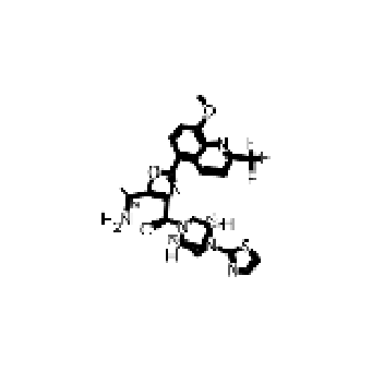 COc1ccc(-c2nc(C(=O)N3C[C@@H]4C[C@H]3CN4c3nccs3)c([C@H](C)N)o2)c2ccc(C(F)(F)F)nc12